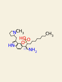 CCCCCCCCC(/C(=C\N)c1ccc2[nH]cc(CC3CCCN3C)c2c1)S(=O)(=O)O